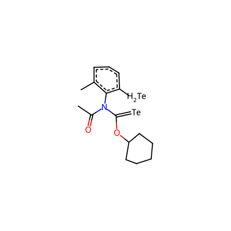 CC(=O)N(C(=[Te])OC1CCCCC1)c1c(C)cccc1C.[TeH2]